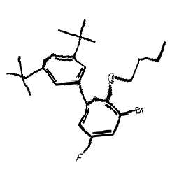 CCCCOc1c(Br)cc(F)cc1-c1cc(C(C)(C)C)cc(C(C)(C)C)c1